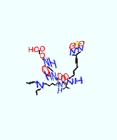 CCCN(CCC)CCCC[C@H](NC(=O)[C@@H](NC(=O)CCCC#Cc1cnc(S(C)(=O)=O)nc1)C(C)C)C(=O)NCC(=O)NCOCC(=O)O